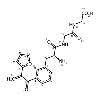 C=C(C(=O)c1cccc(C[C@H](N)C(=O)NCC(=O)NCC(=O)O)c1)c1ccco1